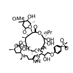 CCC[C@H]1OC(=O)[C@H](C)[C@@H](O[C@H]2C[C@@](C)(OC)[C@@H](O)[C@H](C)O2)[C@H](C)[C@@H](O[C@@H]2O[C@H](C)C[C@H](N(C)CCc3cn([C@H](CF)[C@H](O)COc4ccc(S(C)(=O)=O)cc4)nn3)[C@H]2O)[C@](C)(O)C[C@@H](C)CN(C)[C@H](C)[C@@H](O)[C@]1(C)O